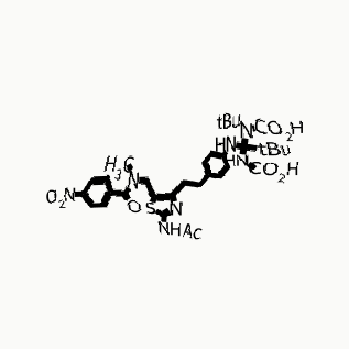 CC(=O)Nc1nc(CCc2ccc(NC(NC(=O)O)(N(C(=O)O)C(C)(C)C)C(C)(C)C)cc2)c(CN(C)C(=O)c2ccc([N+](=O)[O-])cc2)s1